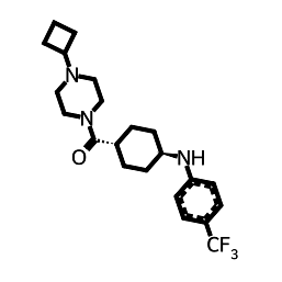 O=C([C@H]1CC[C@H](Nc2ccc(C(F)(F)F)cc2)CC1)N1CCN(C2CCC2)CC1